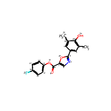 Cc1cc(-c2ncc(C(=O)Oc3ccc(F)cc3)o2)cc(C)c1O